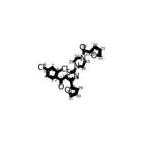 O=C(c1ccc(Cl)cc1Cl)c1sc(N2CCN(C(=O)c3ccco3)CC2)nc1-c1ccco1